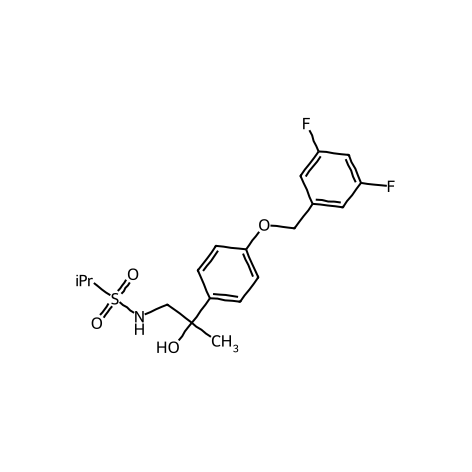 CC(C)S(=O)(=O)NCC(C)(O)c1ccc(OCc2cc(F)cc(F)c2)cc1